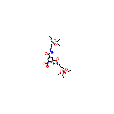 CCO[Si](CCCNC(=O)c1cc(C(=O)NCCC[Si](OCC)(OCC)OCC)cc([N+](=O)[O-])c1)(OCC)OCC